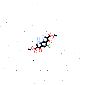 CCOC(=O)c1c[nH]c2c(cc(Cl)c3c(=O)c(C(=O)OCC)c[nH]c32)c1=O